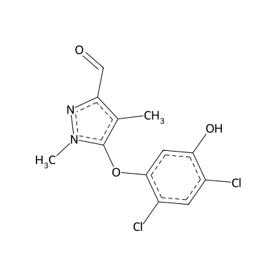 Cc1c(C=O)nn(C)c1Oc1cc(O)c(Cl)cc1Cl